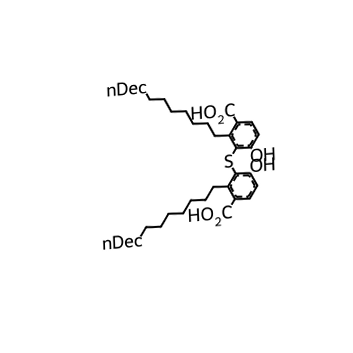 CCCCCCCCCCCCCCCCCc1c(C(=O)O)ccc(O)c1Sc1c(O)ccc(C(=O)O)c1CCCCCCCCCCCCCCCCC